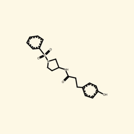 O=C(CCc1ccc(O)cc1)NC1C[CH]N(S(=O)(=O)c2ccccc2)C1